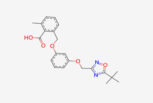 Cc1cccc(COc2cccc(OCc3noc(C(C)(C)C)n3)c2)c1C(=O)O